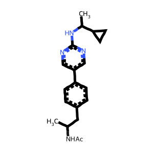 CC(=O)NC(C)Cc1ccc(-c2cnc(NC(C)C3CC3)nc2)cc1